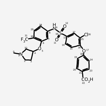 CN1CCC(Oc2cc(NS(=O)(=O)c3ccc(Oc4ccc(C(=O)O)cc4)c(Cl)c3)ccc2C(F)(F)F)C1